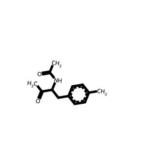 CC(=O)NC(Cc1ccc(C)cc1)C(C)=O